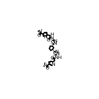 CN(C)C(=O)c1ccc(CC(=O)Nc2nnc([C@H]3CCC[C@H](c4nnc(NC(=O)Cc5ccc(C(=O)N(C)C)cn5)s4)C3)s2)nc1